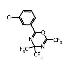 FC(F)(F)C1=NC(C(F)(F)F)(C(F)(F)F)N=C(c2cccc(Cl)c2)O1